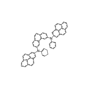 C1=CC(N(c2cc3ccc4cccc5ccc(c2)c3c45)c2ccc3ccc4ccc(N(c5ccccc5)c5cc6ccc7cccc8ccc(c5)c6c78)cc4c3c2)=CCC1